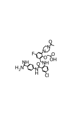 CC(=O)N1CCN(c2cc(F)cc(CNc3ccc(Cl)cc3C(=O)Nc3ccc(C(=N)N)cc3)c2OCC(=O)O)CC1